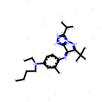 CCCCN(CC)c1ccc(/N=C2/C(C(C)(C)C)=Nn3c2nnc3C(C)C)c(C)c1